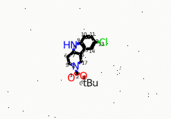 CC(C)(C)OC(=O)N1CCC2Nc3ccc(Cl)cc3C2C1